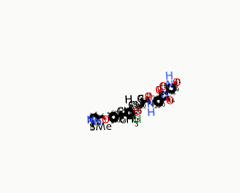 CSc1nccc(COc2ccc(C(C)(C)c3cc(Cl)c(OCCC(C)C(=O)Nc4ccc5c(c4)C(=O)N(C4CCC(=O)NC4=O)C5=O)c(C#N)c3)cc2)n1